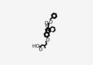 CC(CCOc1ccc2c(c1)[C@@]13CCCC[C@H]1[C@@H](C2)N(C(=O)OCc1ccccc1)CC3)CC(=O)O